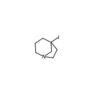 IC12CCCN(CC1)C2